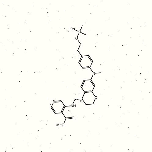 COC(=O)c1ccncc1NC[C@@H]1CCOc2cc(N(C)c3ccc(CCO[Si](C)(C)C(C)C)cc3)ccc21